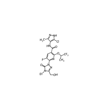 CCn1c(CO)nn(-c2nc(OC(C)C(F)(F)F)c(C(=O)Nc3c(C)n[nH]c3Cl)cc2F)c1=O